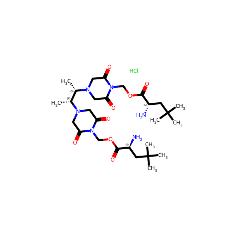 C[C@H]([C@H](C)N1CC(=O)N(COC(=O)[C@@H](N)CC(C)(C)C)C(=O)C1)N1CC(=O)N(COC(=O)[C@@H](N)CC(C)(C)C)C(=O)C1.Cl